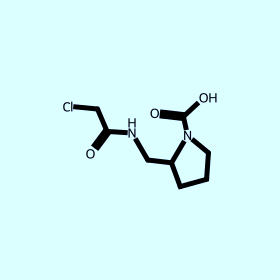 O=C(CCl)NCC1CCCN1C(=O)O